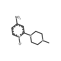 CN1CCN(c2cc([N+](=O)[O-])cc[n+]2[O-])CC1